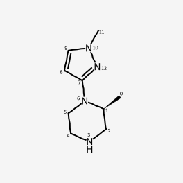 C[C@H]1CNCCN1c1ccn(C)n1